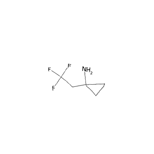 NC1(CC(F)(F)F)CC1